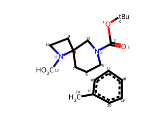 CC(C)(C)OC(=O)N1CCCC2(CCN2C(=O)O)C1.Cc1ccccc1